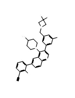 N#Cc1cccc(-c2ccc3ncc(-c4cc(F)cc(CN5CC(F)(F)C5)c4)c(N4CCC(N)CC4)c3c2)c1O